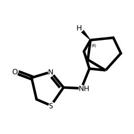 O=C1CSC(NC2C[C@@H]3CCC2C3)=N1